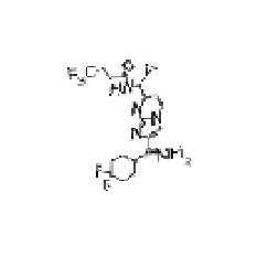 N[C@H](c1cn2ccc(C(NC(=O)CCC(F)(F)F)C3CC3)nc2n1)C1CCC(F)(F)CC1